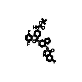 CC(C)(C)OC(=O)N[C@@H]1CCN(C(=O)N2CC[C@@H](Cn3cnc4ccc(F)cc4c3=O)C3(CCCC3)C2)[C@H](c2cc(F)ccc2F)C1